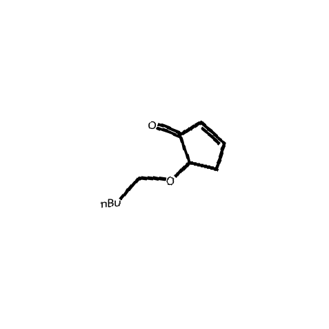 CCCCCOC1CC=CC1=O